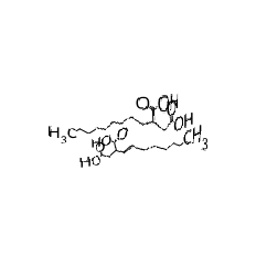 CCCCCCC=CC(CC(=O)O)C(=O)O.CCCCCCCCCC(CC(=O)O)C(=O)O